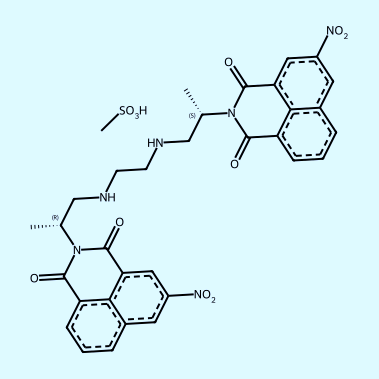 CS(=O)(=O)O.C[C@H](CNCCNC[C@H](C)N1C(=O)c2cccc3cc([N+](=O)[O-])cc(c23)C1=O)N1C(=O)c2cccc3cc([N+](=O)[O-])cc(c23)C1=O